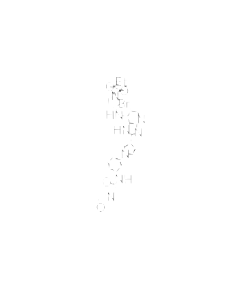 CCS(=O)(=O)N1CC[C@H](Nc2c(Br)cnc3nc(-c4cc(C)n(-c5cccc(NC(=O)CN6CCOCC6)c5)c4C)[nH]c23)C1